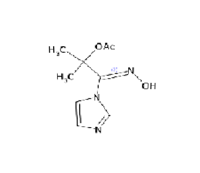 CC(=O)OC(C)(C)/C(=N/O)n1ccnc1